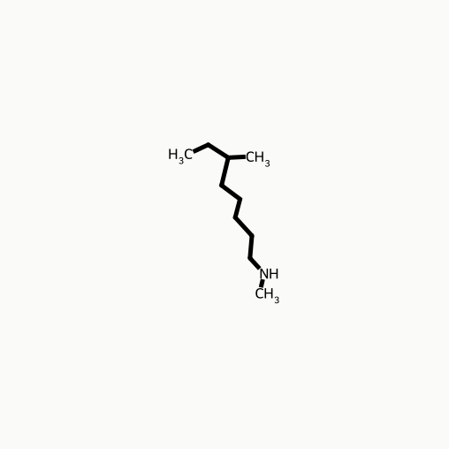 CCC(C)CCCCCNC